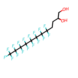 OCC(O)CCC(F)(F)C(F)(F)C(F)(F)C(F)(F)C(F)(F)C(F)(F)C(F)(F)C(F)(F)F